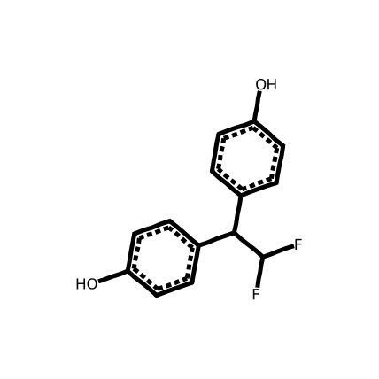 Oc1ccc(C(c2ccc(O)cc2)C(F)F)cc1